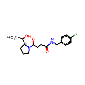 O=C(CCC(=O)N1CCC[C@H]1C(O)C(=O)O)NCc1ccc(Cl)cc1